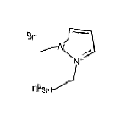 CCCCCC[n+]1cccn1C.[Br-]